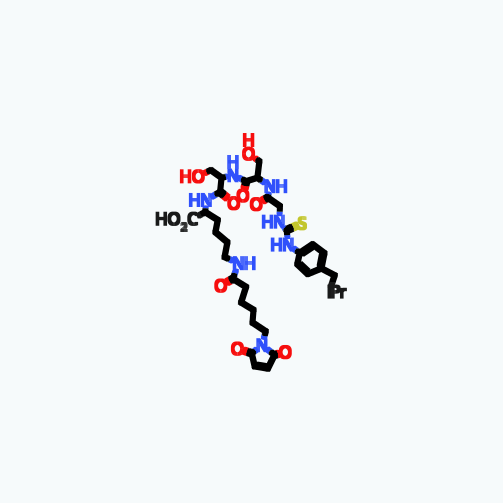 CC(C)Cc1ccc(NC(=S)NCC(=O)NC(CO)C(=O)NC(CO)C(=O)NC(CCCCNC(=O)CCCCCN2C(=O)C=CC2=O)C(=O)O)cc1